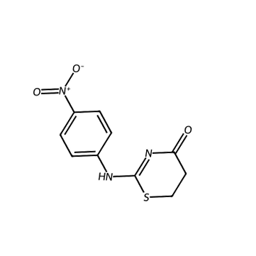 O=C1CCSC(Nc2ccc([N+](=O)[O-])cc2)=N1